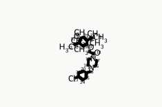 COc1cc(C(C)(C)C)c(OCC(=O)N2CCN(Cc3ccc(Cl)cc3)CC2)cc1C(C)(C)C